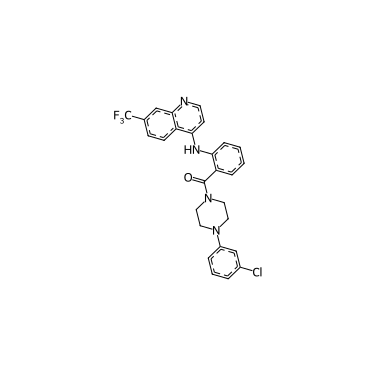 O=C(c1ccccc1Nc1ccnc2cc(C(F)(F)F)ccc12)N1CCN(c2cccc(Cl)c2)CC1